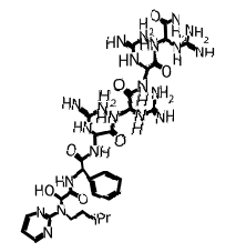 CC(C)CCN(c1ncccn1)C(O)C(=O)NC(C(=O)NC(NC(=N)N)C(=O)NC(NC(=N)N)C(=O)NC(NC(=N)N)C(=O)NC(NC(=N)N)C(N)=O)c1ccccc1